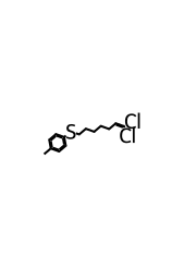 Cc1ccc(SCCCCCC=C(Cl)Cl)cc1